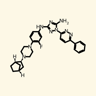 Nc1nc(Nc2ccc(N3CCN([C@H]4C[C@@H]5CC[C@H]4C5)CC3)c(F)c2)nn1-c1ccc(-c2ccccc2)nn1